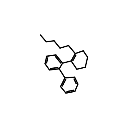 CCCCCC1=C(c2ccccc2-c2ccccc2)CCCC1